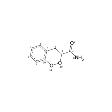 NC(=O)C1Cc2ccccc2OO1